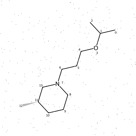 CC(C)OCCCN1CCC[C@H](C)C1